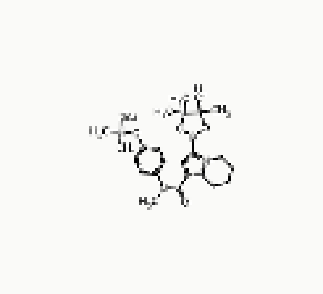 CN(C(=O)c1cc(B2OC(C)(C)C(C)(C)O2)n2c1CCCC2)c1ccc(O[Si](C)(C)C(C)(C)C)cc1